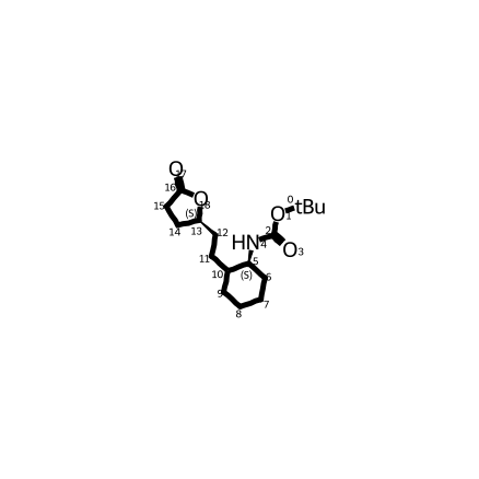 CC(C)(C)OC(=O)N[C@H]1CCCCC1CC[C@H]1CCC(=O)O1